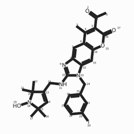 CC(=O)c1c(C)c2cc3nc(NCC4=CC(C)(C)N(O)C4(C)C)n(Cc4cccc(I)c4)c3cc2oc1=O